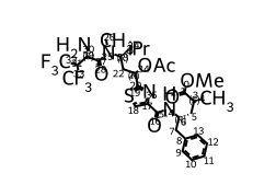 COC(=O)[C@@H](C)C[C@H](Cc1ccccc1)NC(=O)c1csc([C@@H](C[C@H](C(C)C)N(C)C(=O)[C@@H](N)C(C(F)(F)F)C(F)(F)F)OC(C)=O)n1